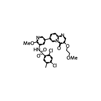 COCCOc1cnc2ccc(-c3cnc(OC)c(NS(=O)(=O)c4cc(C)c(Cl)cc4Cl)c3)cn2c1=O